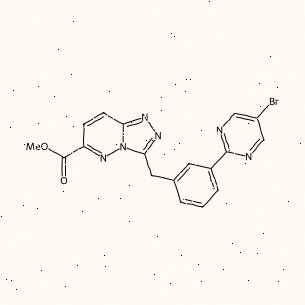 COC(=O)c1ccc2nnc(Cc3cccc(-c4ncc(Br)cn4)c3)n2n1